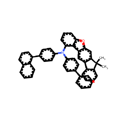 CC1(C)c2ccccc2-c2cc3c(cc21)oc1cccc(N(c2ccc(-c4ccccc4)cc2)c2ccc(-c4cccc5ccccc45)cc2)c13